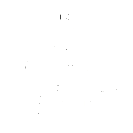 CC(O)COC(C)CO.COCC1CCCO1